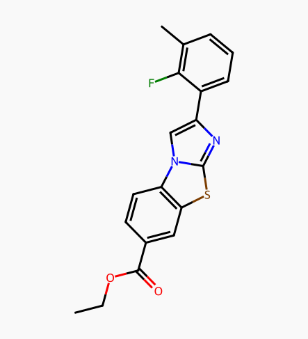 CCOC(=O)c1ccc2c(c1)sc1nc(-c3cccc(C)c3F)cn12